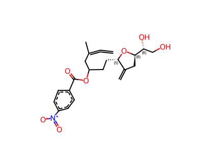 C=C=C(C)CC(CC[C@@H]1O[C@@H]([C@H](O)CO)CC1=C)OC(=O)c1ccc([N+](=O)[O-])cc1